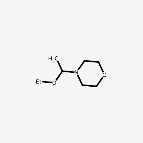 CCOC(C)N1CCOCC1